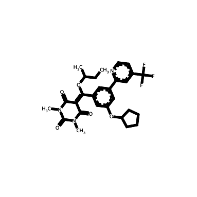 CCC(C)OC(=C1C(=O)N(C)C(=O)N(C)C1=O)c1cc(OC2CCCC2)cc(-c2cc(C(F)(F)F)ccn2)c1